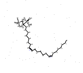 CCCCCCC/C=C\CCCCC/C=C\CCCCCCCC(O)(C[N+](C)(C)C)P(=O)(O)O